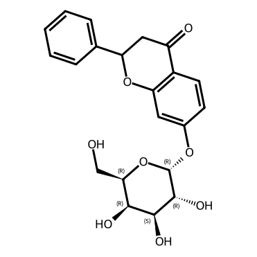 O=C1CC(c2ccccc2)Oc2cc(O[C@H]3O[C@H](CO)[C@H](O)[C@H](O)[C@H]3O)ccc21